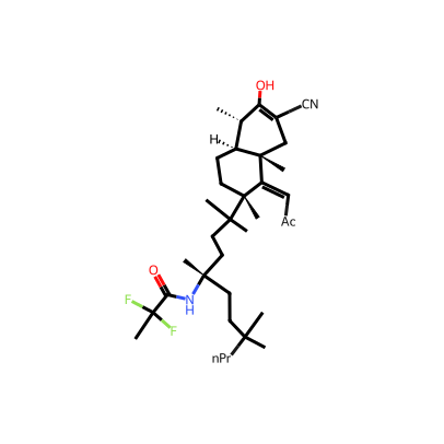 CCCC(C)(C)CC[C@@](C)(CCC(C)(C)[C@]1(C)CC[C@H]2[C@H](C)C(O)=C(C#N)C[C@]2(C)/C1=C/C(C)=O)NC(=O)C(C)(F)F